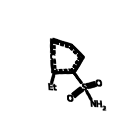 [CH2]Cc1ccccc1S(N)(=O)=O